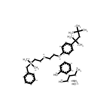 CC(C)(C)CC(C)(C)c1ccc(OCCOCC[N+](C)(C)Cc2ccccc2)cc1.CCCCO.Cl.N.Oc1ccccc1